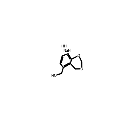 OCc1cccc2c1COCO2.[HH].[NaH]